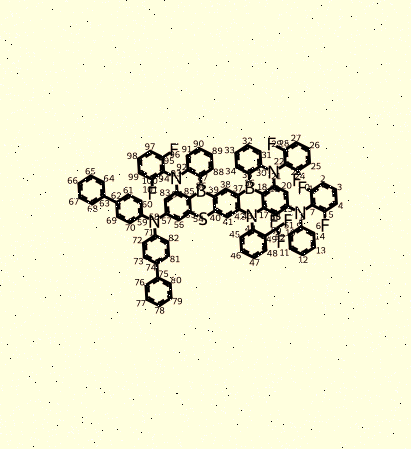 Fc1cccc(F)c1N(c1ccccc1)c1cc2c3c(c1)N(c1c(F)cccc1F)c1ccccc1B3c1cc3c(cc1N2c1ccccc1C(F)(F)F)Sc1cc(N(c2ccc(-c4ccccc4)cc2)c2ccc(-c4ccccc4)cc2)cc2c1B3c1ccccc1N2c1c(F)cccc1F